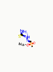 CP(=O)([O-])C=NNC(N)=S.[Na+]